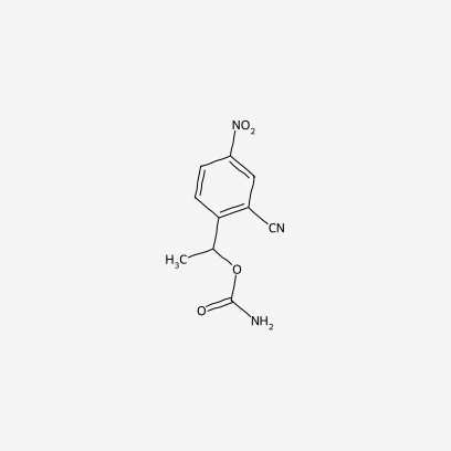 CC(OC(N)=O)c1ccc([N+](=O)[O-])cc1C#N